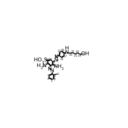 Cc1ccccc1/N=N/c1c(N)c(/N=N/c2ccc(NCCCCCO)cc2)cc(S(=O)(=O)O)c1N